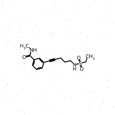 CCS(=O)(=O)NCCCC#Cc1cccc(C(=O)NC)c1